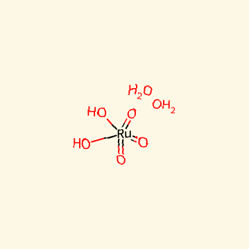 O.O.[O]=[Ru](=[O])(=[O])([OH])[OH]